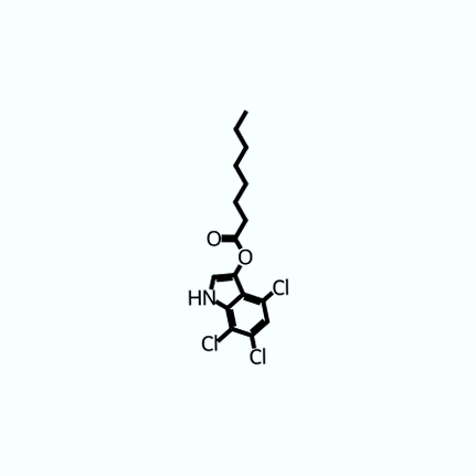 CCCCCCCC(=O)Oc1c[nH]c2c(Cl)c(Cl)cc(Cl)c12